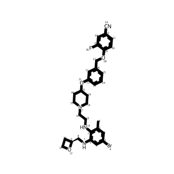 Cc1cc(Br)cc(NC[C@@H]2CCO2)c1NCCN1CCC(Oc2cccc(COc3ccc(C#N)cc3F)c2)CC1